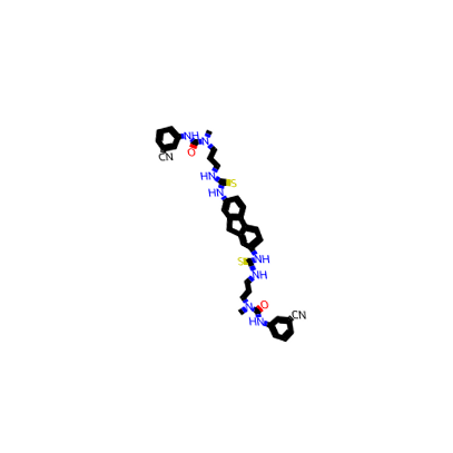 CN(CCCNC(=S)Nc1ccc2c(c1)Cc1cc(NC(=S)NCCCN(C)C(=O)Nc3cccc(C#N)c3)ccc1-2)C(=O)Nc1cccc(C#N)c1